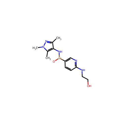 Cc1nn(C)c(C)c1N[S+]([O-])c1ccc(NCCO)nc1